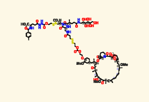 CO[C@H]1C[C@@H]2CC[C@@H](C)[C@@](O)(O2)C(=O)C(=O)N2CCCC[C@H]2C(=O)O[C@H]([C@H](C)C[C@@H]2CC[C@@H](OCCOC(=O)OCCSSCCC(=O)NC[C@H](NC(=O)[C@@H](C)CCC(=O)NC[C@H](O)[C@@H](O)[C@H](O)[C@H](O)CO)C(=O)N[C@@H](CSSCCOC(=O)NNC(=O)CC[C@H](NC(=O)c3ccc(C)cc3)C(=O)O)C(=O)O)[C@H](OC)C2)CC(=O)[C@H](C)/C=C(\C)[C@@H](O)[C@@H](OC)C(=O)[C@H](C)C[C@H](C)/C=C/C=C/C=C/1C